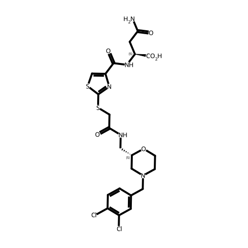 NC(=O)C[C@H](NC(=O)c1csc(SCC(=O)NC[C@H]2CN(Cc3ccc(Cl)c(Cl)c3)CCO2)n1)C(=O)O